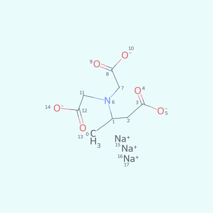 CC(CC(=O)[O-])N(CC(=O)[O-])CC(=O)[O-].[Na+].[Na+].[Na+]